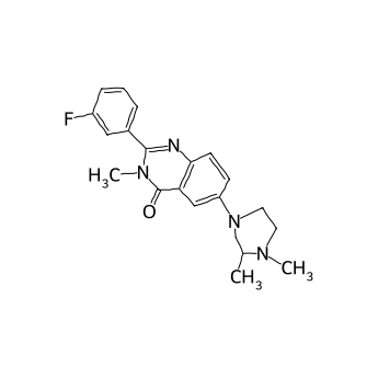 CC1CN(c2ccc3nc(-c4cccc(F)c4)n(C)c(=O)c3c2)CCN1C